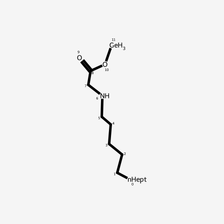 CCCCCCCCCCCCNCC(=O)[O][GeH3]